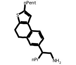 CCCCCc1cc2c(s1)CCc1cc(C(CN)CCC)ccc1-2